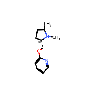 CC1CC[C@@H](COc2ccccn2)N1C